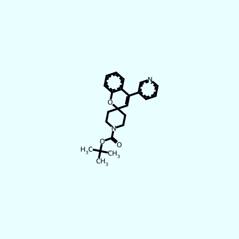 CC(C)(C)OC(=O)N1CCC2(C=C(c3cccnc3)c3ccccc3O2)CC1